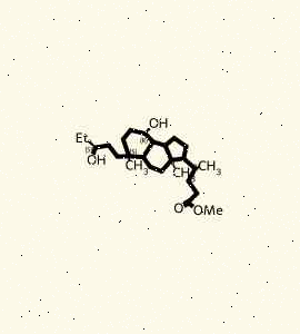 CC[C@H](O)CC[C@@]1(C)CC[C@@H](O)C2C1CC[C@@]1(C)C2CCC1[C@H](C)CCC(=O)OC